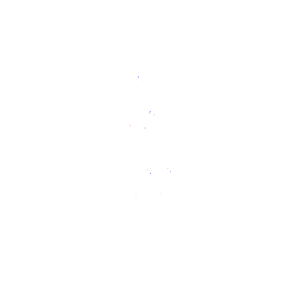 O=C(Nc1cnc2ccccc2c1)c1ccc2nc(-c3c(Cl)cccc3Cl)[nH]c2c1